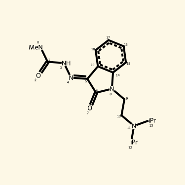 CNC(=O)N/N=C1/C(=O)N(CCN(C(C)C)C(C)C)c2ccccc21